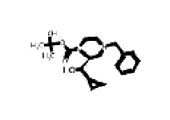 CC(C)(C)OC(=O)N1CCN(Cc2ccccc2)C[C@H]1C(O)C1CC1